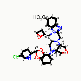 C[C@@]1(c2ccc(Cl)cn2)Oc2cccc(N3CCN(Cc4nc5ccc(C(=O)O)cc5n4C[C@@H]4CCO4)[C@@H]4COC[C@@H]43)c2O1